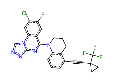 Fc1cc2c(N3CCCc4c(C#CC5(C(F)(F)F)CC5)cccc43)nc3nncn3c2cc1Cl